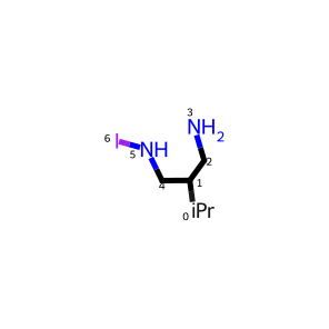 CC(C)C(CN)CNI